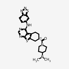 CN(C)C1CCN(C(=O)[C@H]2CCc3c(sc4ncnc(Nc5ccc6nnsc6c5)c34)C2)CC1